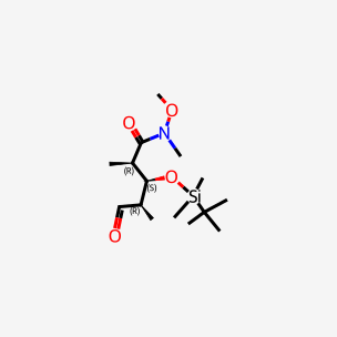 CON(C)C(=O)[C@H](C)[C@@H](O[Si](C)(C)C(C)(C)C)[C@@H](C)C=O